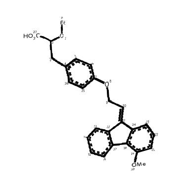 CCOC(Cc1ccc(OC/C=C2\c3ccccc3-c3c(OC)cccc32)cc1)C(=O)O